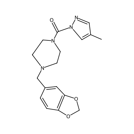 Cc1cnn(C(=O)N2CCN(Cc3ccc4c(c3)OCO4)CC2)c1